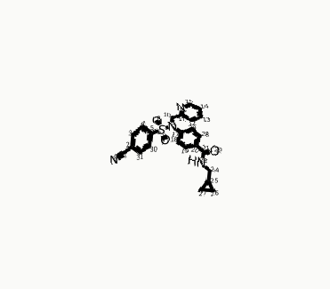 N#Cc1ccc(S(=O)(=O)N(Cc2ccccn2)c2ccc(C(=O)NCC3CC3)cc2)cc1